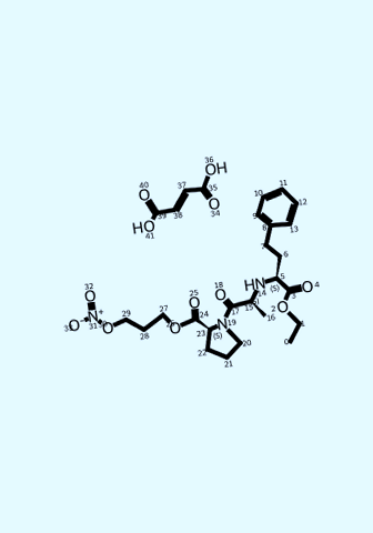 CCOC(=O)[C@H](CCc1ccccc1)N[C@@H](C)C(=O)N1CCC[C@H]1C(=O)OCCCO[N+](=O)[O-].O=C(O)C=CC(=O)O